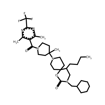 CCCCC1CN(CC2CCCCC2)C(=O)OC12CCN(C1(C)CCN(C(=O)c3c(C)nc(C(F)(F)F)nc3C)CC1)CC2